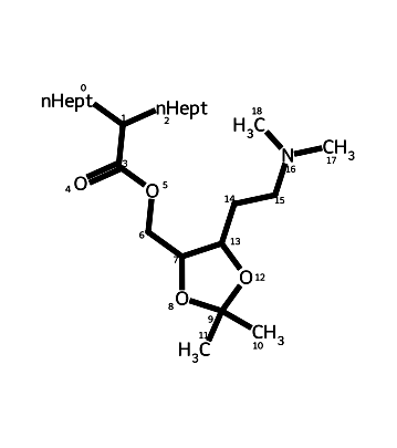 CCCCCCCC(CCCCCCC)C(=O)OCC1OC(C)(C)OC1CCN(C)C